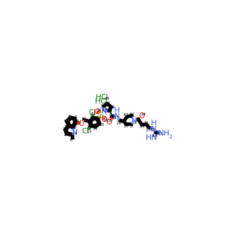 Cc1ccc2cccc(OCc3c(Cl)ccc(S(=O)(=O)N4CCC[C@H]4C(=O)NCC4CCN(C(=O)CCCNC(=N)N)CC4)c3Cl)c2n1.Cl.Cl